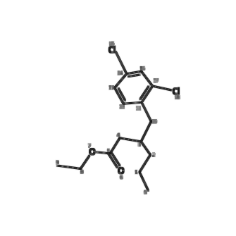 CCCC(CC(=O)OCC)Cc1ccc(Cl)cc1Cl